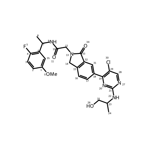 COc1ccc(F)c(C(C)NC(=O)CN2Cc3ccc(-c4nc(NC(C)CO)ncc4Cl)cc3C2=O)c1